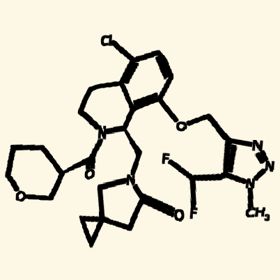 Cn1nnc(COc2ccc(Cl)c3c2[C@@H](CN2CC4(CC4)CC2=O)N(C(=O)[C@@H]2CCCOC2)CC3)c1C(F)F